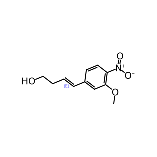 COc1cc(/C=C/CCO)ccc1[N+](=O)[O-]